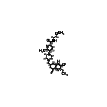 CCc1nc2c(F)cc(CN3CCN(c4ccc(C(=O)NCCOC)nc4C)CC3)cc2[nH]c1=O